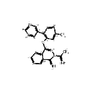 N=C(n1nc(Oc2cc(C(F)(F)F)ccc2-c2cncnc2)c2ccccc2c1=N)C(F)(F)F